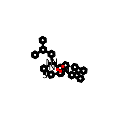 c1ccc(-c2cc(-c3ccccc3)cc(-c3cccc(-c4nc(-c5ccccc5)nc(-c5cccc6sc7ccc(-c8ccc9c(c8)c8ccccc8n9-c8ccc9c(c8)C8(c%10ccccc%10-c%10ccccc%108)c8ccccc8-9)cc7c56)n4)c3)c2)cc1